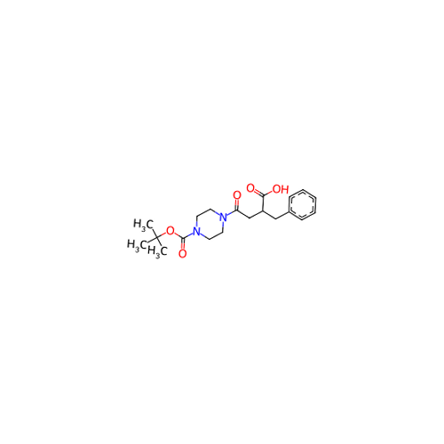 CC(C)(C)OC(=O)N1CCN(C(=O)CC(Cc2ccccc2)C(=O)O)CC1